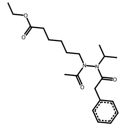 CCOC(=O)CCCCCN(C(C)=O)N(C(=O)Cc1ccccc1)C(C)C